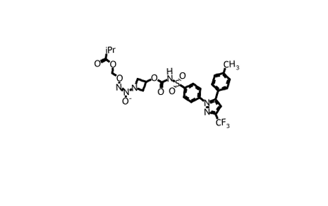 Cc1ccc(-c2cc(C(F)(F)F)nn2-c2ccc(S(=O)(=O)NC(=O)OC3CN(/[N+]([O-])=N\OCOC(=O)C(C)C)C3)cc2)cc1